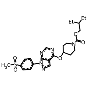 CCC(CC)COC(=O)N1CCC(Oc2ncnc3c2cnn3-c2ccc(S(C)(=O)=O)cc2)CC1